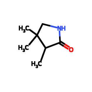 CC1C(=O)NCC1(C)C